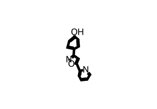 Oc1ccc(-c2cc(-c3ccccn3)on2)cc1